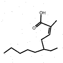 CCCCCC(CC)CC=C(C)C(=O)O